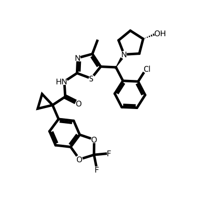 Cc1nc(NC(=O)C2(c3ccc4c(c3)OC(F)(F)O4)CC2)sc1[C@H](c1ccccc1Cl)N1CC[C@H](O)C1